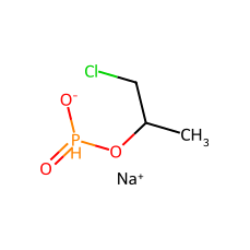 CC(CCl)O[PH](=O)[O-].[Na+]